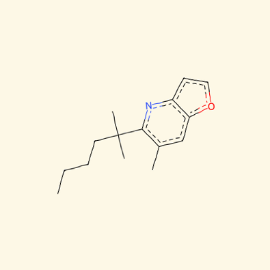 CCCCC(C)(C)c1nc2ccoc2cc1C